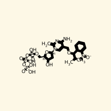 C=C1N=C(N)C(COC(c2ccccc2[N+](=O)[O-])C(C)C)=CN1[C@H]1CC(O)[C@@H](COP(=O)(O)OP(=O)(O)OP(=O)(O)O)O1